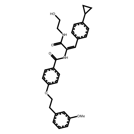 COc1cccc(CCOc2ccc(C(=O)NC(=Cc3ccc(C4CC4)cc3)C(=O)NCCO)cc2)c1